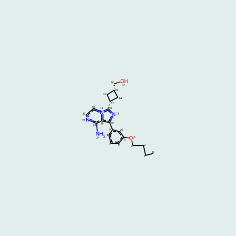 CCCCOc1cccc(-c2nc([C@H]3C[C@@H](CO)C3)n3ccnc(N)c23)c1